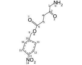 NCC(=O)CCC(=O)OCc1ccc([N+](=O)[O-])cc1